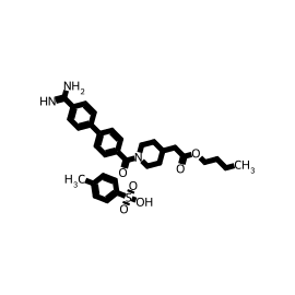 CCCCOC(=O)CC1CCN(C(=O)c2ccc(-c3ccc(C(=N)N)cc3)cc2)CC1.Cc1ccc(S(=O)(=O)O)cc1